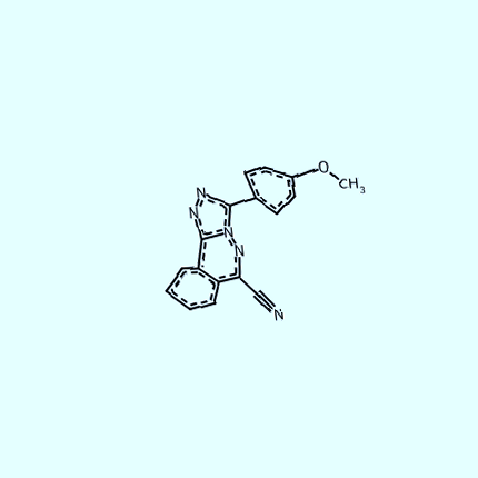 COc1ccc(-c2nnc3c4ccccc4c(C#N)nn23)cc1